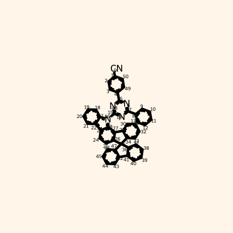 N#Cc1ccc(-c2nc(-c3ccccc3)nc(-n3c4ccccc4c4ccc5c(c43)-c3ccccc3C53c4ccccc4-c4ccccc43)n2)cc1